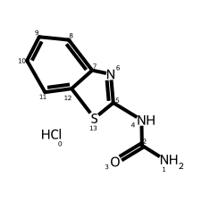 Cl.NC(=O)Nc1nc2ccccc2s1